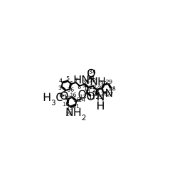 COc1cccc(CCC2=C(C(=O)OCc3cccc(N)c3)C(c3c[nH]c4ncccc34)NC(=O)N2)c1